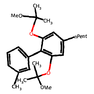 CCCCCc1cc(OC(C)(C)OC)c(-c2cccc(C)c2)c(OC(C)(C)OC)c1